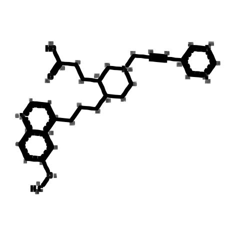 COc1ccc2nccc(CCCC3CCN(CC#Cc4cncnc4)CC3CCC(=O)O)c2c1